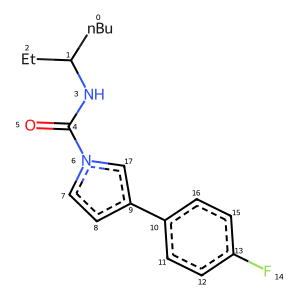 CCCCC(CC)NC(=O)n1ccc(-c2ccc(F)cc2)c1